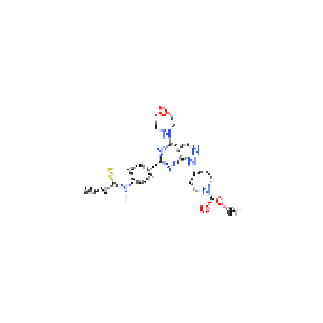 CNC(=S)Nc1ccc(-c2nc(N3CCOCC3)c3cnn(C4CCN(C(=O)OC(C)C)CC4)c3n2)cc1